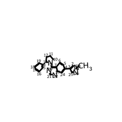 Cn1cc(-c2ccc3c(N4CCC[C@@H]4c4ccccc4)ncnc3c2)cn1